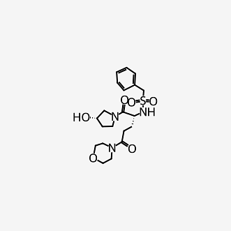 O=C(CC[C@@H](NS(=O)(=O)Cc1ccccc1)C(=O)N1CC[C@H](O)C1)N1CCOCC1